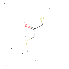 CSCC(=O)[CH]S